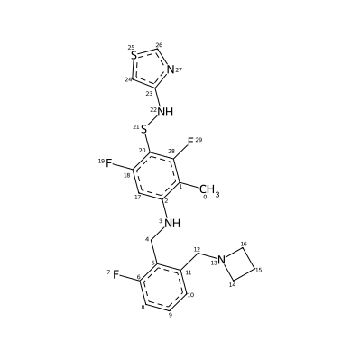 Cc1c(NCc2c(F)cccc2CN2CCC2)cc(F)c(SNc2cscn2)c1F